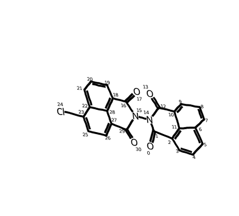 O=C1c2cccc3cccc(c23)C(=O)N1N1C(=O)c2cccc3c(Cl)ccc(c23)C1=O